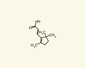 CCCC(=O)C=CC1=C(C)CCC1(C)C